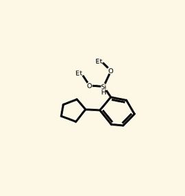 CCO[SiH](OCC)c1ccccc1C1CCCC1